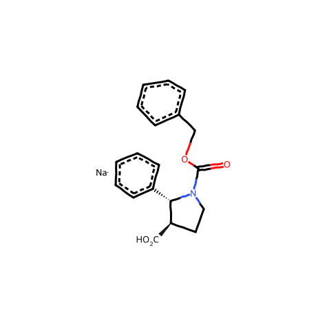 O=C(O)[C@@H]1CCN(C(=O)OCc2ccccc2)[C@H]1c1ccccc1.[Na]